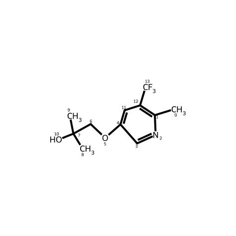 Cc1ncc(OCC(C)(C)O)cc1C(F)(F)F